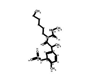 CCCCCCN(C(=O)C(C)c1ccc(C)c(N=S(=O)=O)c1)C(=S)NC